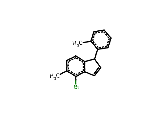 Cc1ccccc1C1C=Cc2c1ccc(C)c2Br